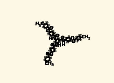 CC1CCC(C(=O)Oc2ccc(NC(=O)c3cc(NC(=O)c4ccc(OC(=O)C5CCC(C)CC5)cc4)cc(NC(=O)c4ccc(OC(=O)C5CCC(C)CC5)cc4)c3)cc2)CC1